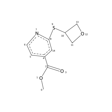 COC(=O)c1ccnc(SC2COC2)c1